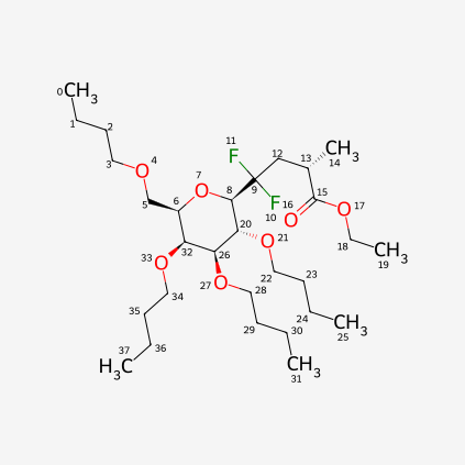 CCCCOC[C@H]1O[C@@H](C(F)(F)C[C@H](C)C(=O)OCC)[C@H](OCCCC)[C@@H](OCCCC)[C@H]1OCCCC